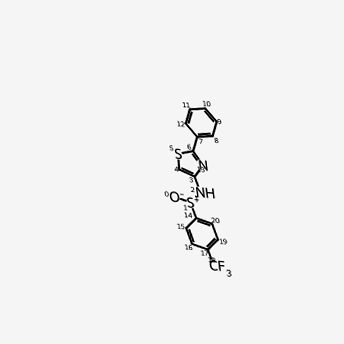 [O-][S+](Nc1csc(-c2ccccc2)n1)c1ccc(C(F)(F)F)cc1